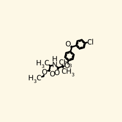 CCOC(=O)C(C)NC(=O)C(C)(C)Oc1ccc(C(=O)c2ccc(Cl)cc2)cc1